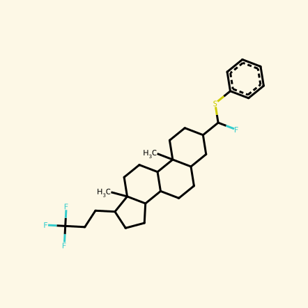 CC12CCC3C(CCC4CC(C(F)Sc5ccccc5)CCC43C)C1CCC2CCC(F)(F)F